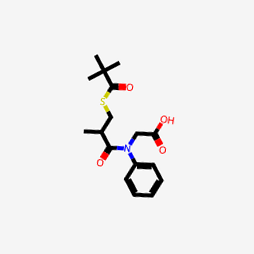 CC(CSC(=O)C(C)(C)C)C(=O)N(CC(=O)O)c1ccccc1